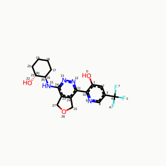 Oc1cc(C(F)(F)F)cnc1-c1nnc(N[C@@H]2CCCC[C@H]2O)c2c1COC2